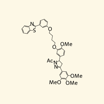 COc1ccc(C2CC(c3cc(OC)c(OC)c(OC)c3)=NN2C(C)=O)cc1OCCCCOc1cccc(-c2nc3ccccc3s2)c1